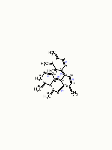 C=C\C=C/C(C(=C)C=C)=C(\C=C/C=C)C(/C=C\C=C)=C(\C=C/C)CC=C